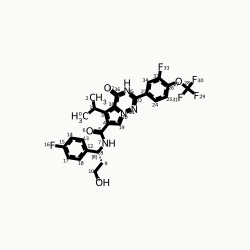 CC(C)c1c(C(=O)N[C@H](CCO)c2ccc(F)cc2)cn2nc(-c3ccc(OC(F)(F)F)c(F)c3)[nH]c(=O)c12